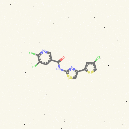 O=C(Nc1nc(-c2cc(Cl)cs2)cs1)c1cnc(Cl)c(Cl)c1